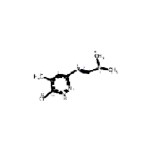 Cc1cc(/N=C/N(C)C)nnc1Cl